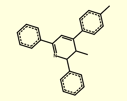 Cc1ccc(C2=CC(c3ccccc3)=NC(c3ccccc3)C2C)cc1